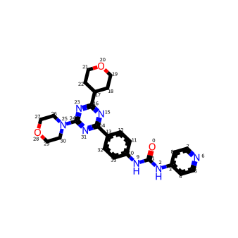 O=C(Nc1ccncc1)Nc1ccc(-c2nc(C3CCOCC3)nc(N3CCOCC3)n2)cc1